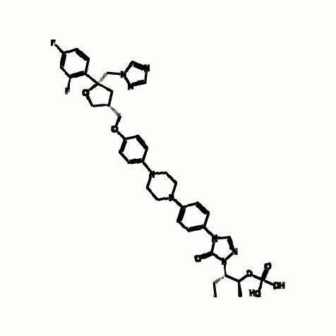 CC[C@@H]([C@H](C)OP(=O)(O)O)n1ncn(-c2ccc(B3CCN(c4ccc(OC[C@@H]5CO[C@@](Cn6cncn6)(c6ccc(F)cc6F)C5)cc4)CC3)cc2)c1=O